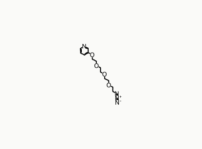 [N-]=[N+]=NCCOCCOCCOCCOc1cccnc1